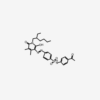 CCCCC(CC)Cn1c(O)c(/N=N/c2ccc(S(=O)(=O)Nc3ccc(C(C)=O)cc3)cc2)c(C)c(C)c1=O